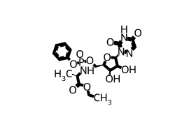 CCOC(=O)[C@H](C)NP(=O)(OC[C@H]1O[C@@H](n2ncc(=O)[nH]c2=O)C(O)[C@H]1O)Oc1ccccc1